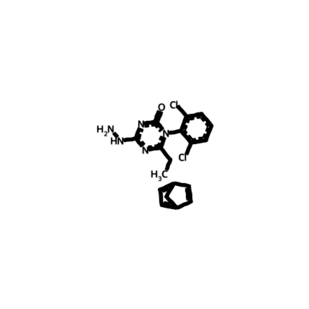 C1=CC2=CC=C1C2.CCc1nc(NN)nc(=O)n1-c1c(Cl)cccc1Cl